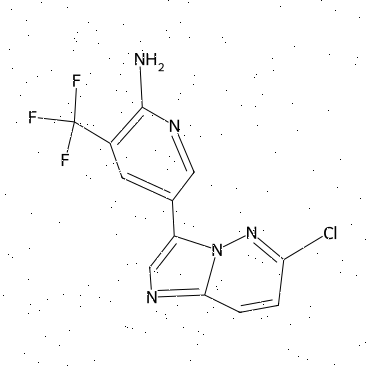 Nc1ncc(-c2cnc3ccc(Cl)nn23)cc1C(F)(F)F